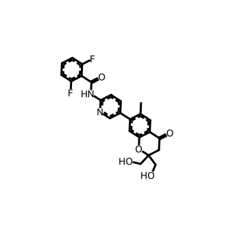 Cc1cc2c(cc1-c1ccc(NC(=O)c3c(F)cccc3F)nc1)OC(CO)(CO)CC2=O